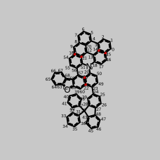 c1ccc(-c2cccc3cccc(-c4ccccc4N(c4ccc(-c5ccc6c(c5)C(c5ccccc5)(c5ccccc5)c5ccccc5-6)cc4)c4ccccc4-c4cccc5oc6ccccc6c45)c23)cc1